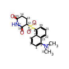 CN(C)c1cccc2c(S(=O)(=O)C3CCC(=O)NC3=O)cccc12